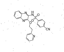 N#Cc1ccc(S(=O)(=O)Nc2nc3ccccc3nc2OCCc2ccccn2)cc1